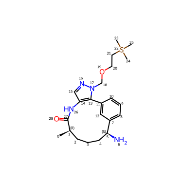 C[C@@H]1CCC[C@H](N)c2cccc(c2)-c2c(cnn2COCCS(C)(C)C)NC1=O